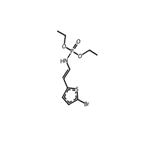 CCOP(=O)(NC=Cc1ccc(Br)s1)OCC